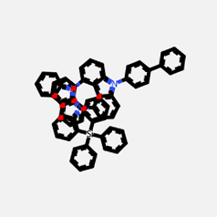 c1ccc(-c2ccc(-n3c4cccc(-n5c6ccccc6c6ccccc65)c4c4c(-n5c6ccccc6c6cccc([Si](c7ccccc7)(c7ccccc7)c7ccccc7)c65)cccc43)cc2)cc1